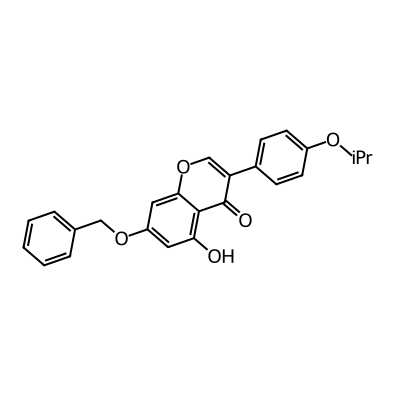 CC(C)Oc1ccc(-c2coc3cc(OCc4ccccc4)cc(O)c3c2=O)cc1